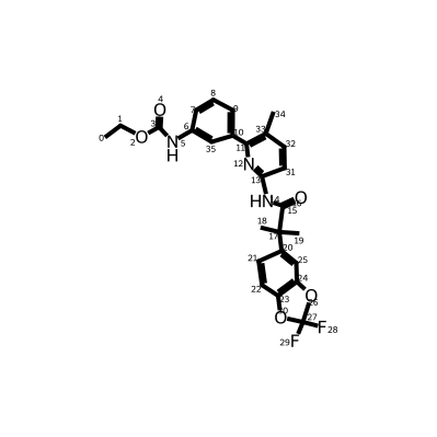 CCOC(=O)Nc1cccc(-c2nc(NC(=O)C(C)(C)c3ccc4c(c3)OC(F)(F)O4)ccc2C)c1